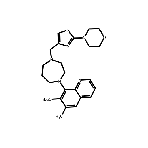 Cc1cc2cccnc2c(N2CCCN(Cc3csc(N4CCOCC4)n3)CC2)c1OCC(C)C